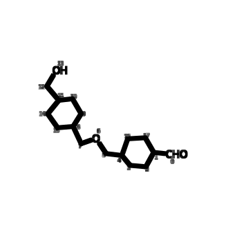 O=CC1CCC(COCC2CCC(CO)CC2)CC1